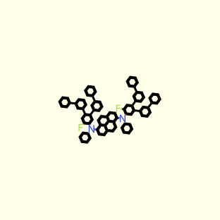 Fc1cc(-c2cccc(-c3ccccc3)c2)c(-c2cccc(-c3ccccc3)c2)cc1N(c1ccccc1)c1ccc2ccc3c(N(c4ccccc4)c4cc(-c5cccc(-c6ccccc6)c5)c(-c5cccc(-c6ccccc6)c5)cc4F)ccc4ccc1c2c43